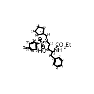 CCOC(=O)NC(Cc1ccccc1)[C@@H](O)CN(CC1CCCC1)S(=O)(=O)c1ccc(F)cc1